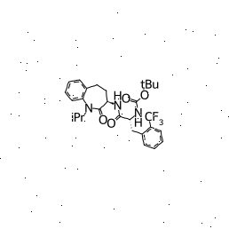 CC(C)N1C(=O)[C@H](NC(=O)[C@@H](Cc2ccccc2C(F)(F)F)NC(=O)OC(C)(C)C)CCc2ccccc21